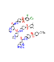 CC(C)COc1ccc(S(=O)(=O)c2ccc(CNC(=O)c3cnc4[nH]ncc4c3)cc2)cc1.Cc1cc(C)cc(S(=O)(=O)c2ccc(CNC(=O)c3ccc4nccn4c3)cc2)c1.O=C(NCc1ccc(S(=O)(=O)c2ccc(Cl)c(F)c2)cc1)c1ccc2nccn2c1